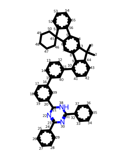 CC1(C)c2cc3c(cc2-c2c(-c4cccc(-c5cccc(C6N=C(c7ccccc7)N=C(c7ccccc7)N6)c5)c4)cccc21)C1(CCCCC1)c1ccccc1-3